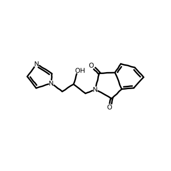 O=C1c2ccccc2C(=O)N1CC(O)Cn1ccnc1